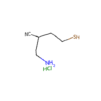 Cl.N#CC(CN)CCS